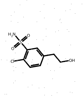 NS(=O)(=O)c1cc(CCO)ccc1Cl